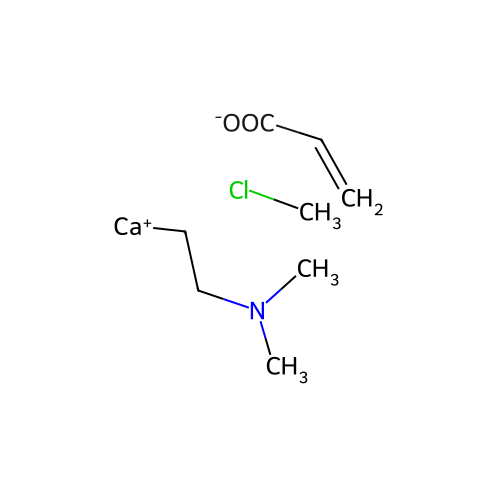 C=CC(=O)[O-].CCl.CN(C)C[CH2][Ca+]